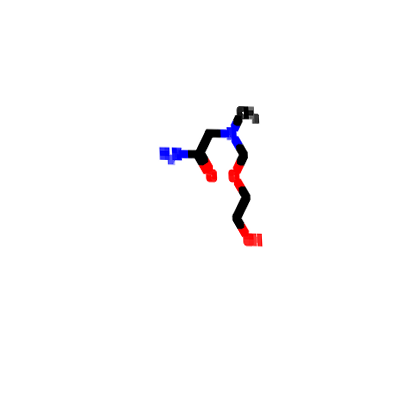 CN(COCCO)CC(N)=O